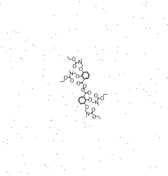 CCOC(=O)N(C)COc1cccc(C(=O)OOC(=O)c2cccc(OCN(C)C(=O)OCC)c2OCN(C)C(=O)OCC)c1OCN(C)C(=O)OCC